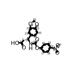 O=C(O)C[C@@H](NC(=O)Oc1ccc([N+](=O)[O-])cc1)c1ccc2c(c1)OCO2